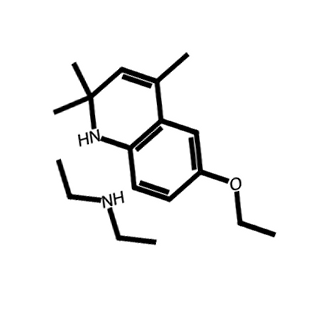 CCNCC.CCOc1ccc2c(c1)C(C)=CC(C)(C)N2